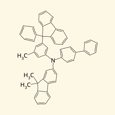 Cc1cc(N(c2ccc(-c3ccccc3)cc2)c2ccc3c(c2)C(C)(C)c2ccccc2-3)cc(C2(c3ccccc3)c3ccccc3-c3ccccc32)c1